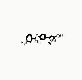 Bc1cccc([C@@H](C)Oc2ccc(-c3cc(O)n[s+]3[O-])cc2)c1